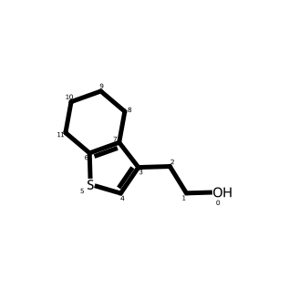 OCCc1csc2c1CCCC2